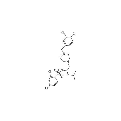 CC(C)C[C@H](CN1CCN(Cc2ccc(Cl)c(Cl)c2)CC1)NS(=O)(=O)c1ccc(Cl)cc1Cl